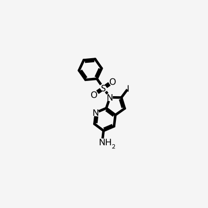 Nc1cnc2c(c1)cc(I)n2S(=O)(=O)c1ccccc1